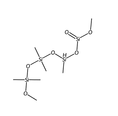 CO[Si](=O)O[SiH](C)O[Si](C)(C)O[Si](C)(C)OC